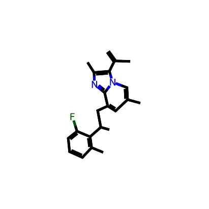 C=C(C)c1c(C)nc2c(CC(C)c3c(C)cccc3F)cc(C)cn12